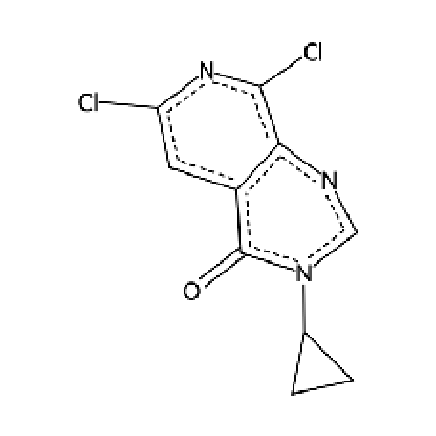 O=c1c2cc(Cl)nc(Cl)c2ncn1C1CC1